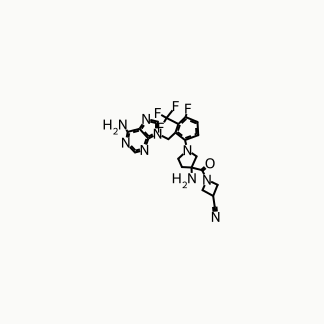 N#CC1CN(C(=O)C2(N)CCN(c3ccc(F)c(C(F)(F)F)c3Cn3cnc4c(N)ncnc43)C2)C1